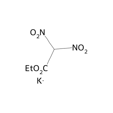 CCOC(=O)C([N+](=O)[O-])[N+](=O)[O-].[K]